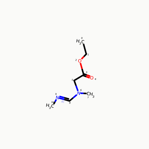 CCOC(=O)CN(C)/C=N/C